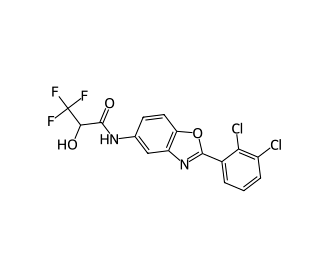 O=C(Nc1ccc2oc(-c3cccc(Cl)c3Cl)nc2c1)C(O)C(F)(F)F